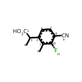 Cc1c(C(C)C(=O)O)ccc(C#N)c1F